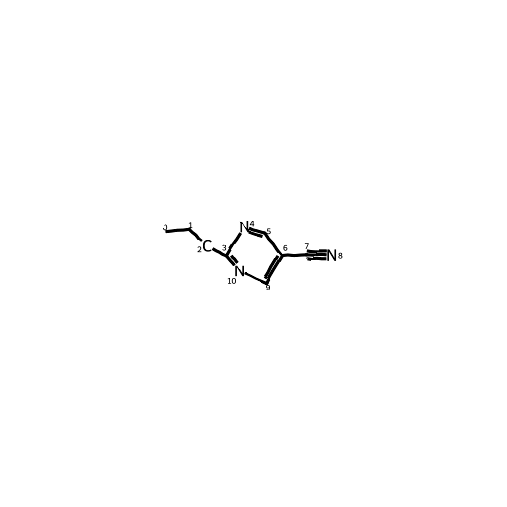 CCCc1ncc(C#N)cn1